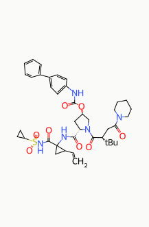 C=CC1CC1(NC(=O)[C@@H]1C[C@@H](OC(=O)Nc2ccc(-c3ccccc3)cc2)CN1C(=O)[C@@H](CC(=O)N1CCCCC1)C(C)(C)C)C(=O)NS(=O)(=O)C1CC1